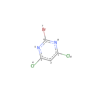 Clc1cc(Cl)nc(Br)n1